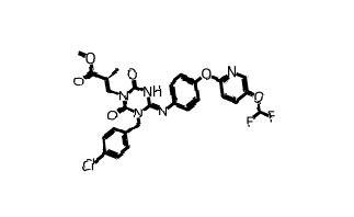 COC(=O)[C@@H](C)Cn1c(=O)[nH]/c(=N\c2ccc(Oc3ccc(OC(F)F)cn3)cc2)n(Cc2ccc(Cl)cc2)c1=O